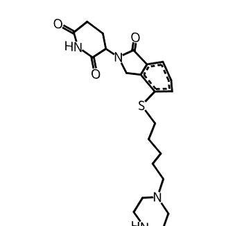 O=C1CCC(N2Cc3c(SCCCCCN4CCNCC4)cccc3C2=O)C(=O)N1